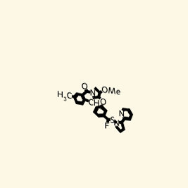 COC1CN(C(=O)c2cc(C)ccc2C)CC1Oc1cccc(C(F)SN2CCCC2c2ccccn2)c1